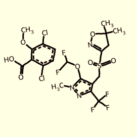 COc1c(Cl)ccc(Cl)c1C(=O)O.Cn1nc(C(F)(F)F)c(CS(=O)(=O)C2=NOC(C)(C)C2)c1OC(F)F